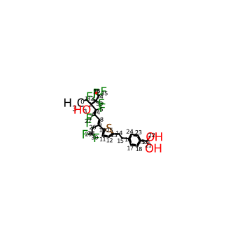 CCC(O)(C(F)=C(F)C=C(c1ccc(CCc2ccc(C(O)O)cc2)s1)C(F)C(F)F)C(F)(F)C(F)(F)F